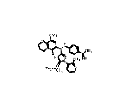 CC(=O)O.COc1cc([C@H](Nc2ccc(C(=N)N)cc2)c2nn(-c3cccnc3N)c(=O)[nH]2)c(F)c2c1OCCC2